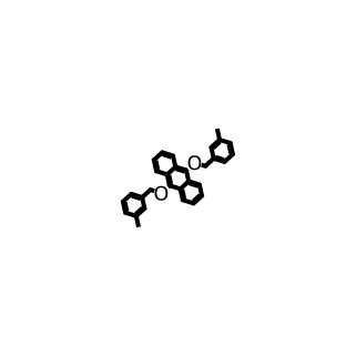 Cc1cccc(COc2c3ccccc3c(OCc3cccc(C)c3)c3ccccc23)c1